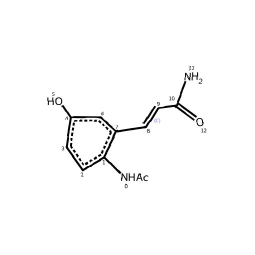 CC(=O)Nc1ccc(O)cc1/C=C/C(N)=O